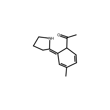 CC(=O)C1C=CC(C)=C/C1=C1\CCCN1